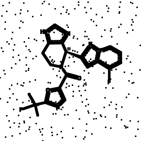 CC(C)(F)c1ncc(C(=O)N2CCc3[nH]cnc3[C@H]2c2cc3c(F)cccn3n2)o1